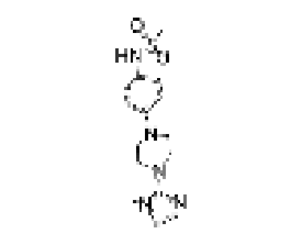 Cn1ccnc1N1CCN(c2ccc(NS(C)(=O)=O)cc2)CC1